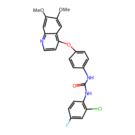 COc1cc2nccc(Oc3ccc(NC(=O)Nc4ccc(F)cc4Cl)cc3)c2cc1OC